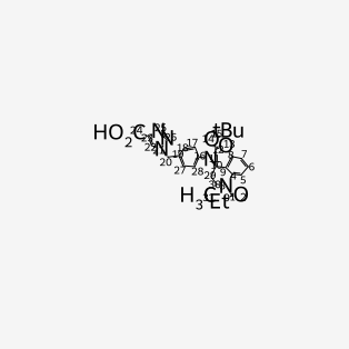 CCC(=O)N1c2ccccc2[C@H](N(C(=O)OC(C)(C)C)c2ccc(Cn3cc(C(=O)O)nn3)cc2)C[C@@H]1C